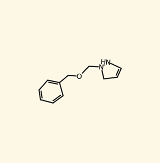 C1=CNN(COCc2ccccc2)C1